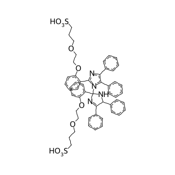 O=S(=O)(O)CCCOCCOc1ccccc1-c1nc(-c2ccccc2)c(-c2ccccc2)n1C1(c2ccccc2OCCOCCCS(=O)(=O)O)N=C(c2ccccc2)C(c2ccccc2)N1